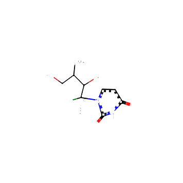 COC(CO)C(O)[C@](C)(F)n1ccc(=O)[nH]c1=O